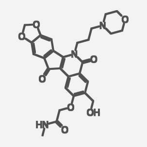 CNC(=O)COc1cc2c3c(n(CCCN4CCOCC4)c(=O)c2cc1CO)-c1cc2c(cc1C3=O)OCO2